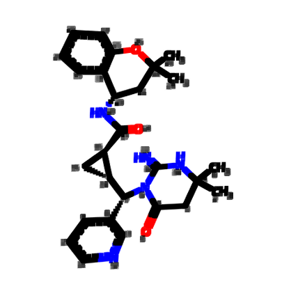 CC1(C)CC(=O)N([C@H](c2cccnc2)[C@@H]2C[C@H]2C(=O)N[C@H]2CC(C)(C)Oc3ccccc32)C(=N)N1